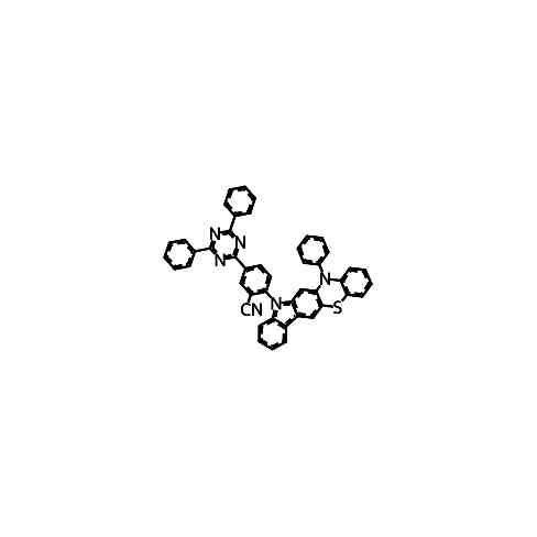 N#Cc1cc(-c2nc(-c3ccccc3)nc(-c3ccccc3)n2)ccc1-n1c2ccccc2c2cc3c(cc21)N(c1ccccc1)c1ccccc1S3